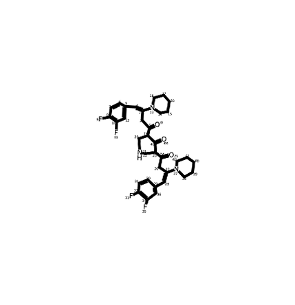 O=C(C/C(=C\c1ccc(F)c(F)c1)N1CCCCC1)C1CNCC(C(=O)C/C(=C\c2ccc(F)c(F)c2)N2CCCCC2)C1=O